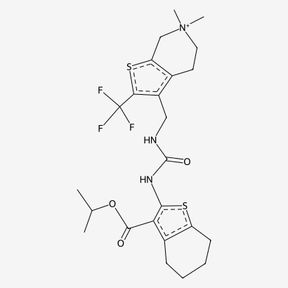 CC(C)OC(=O)c1c(NC(=O)NCc2c(C(F)(F)F)sc3c2CC[N+](C)(C)C3)sc2c1CCCC2